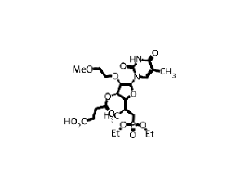 CCOP(=O)(C[C@@H](C)C1O[C@H](n2cc(C)c(=O)[nH]c2=O)[C@H](OCCOC)[C@@H]1OC(=O)CCC(=O)O)OCC